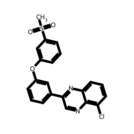 CS(=O)(=O)c1cccc(Oc2cccc(-c3cnc4c(Cl)cccc4n3)c2)c1